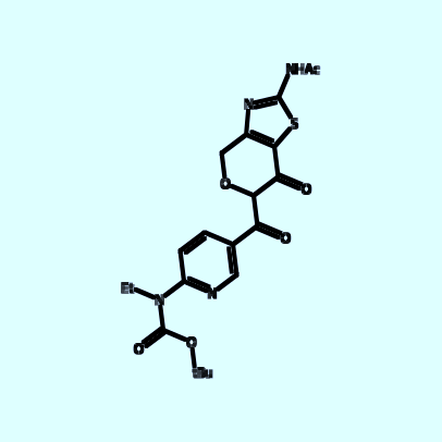 CCN(C(=O)OC(C)(C)C)c1ccc(C(=O)C2OCc3nc(NC(C)=O)sc3C2=O)cn1